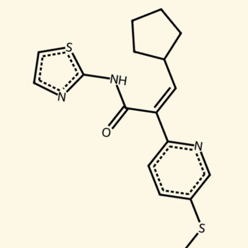 CSc1ccc(C(=CC2CCCC2)C(=O)Nc2nccs2)nc1